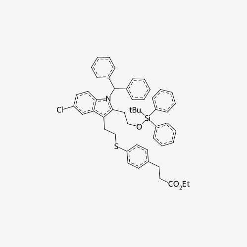 CCOC(=O)CCc1ccc(SCCc2c(CCO[Si](c3ccccc3)(c3ccccc3)C(C)(C)C)n(C(c3ccccc3)c3ccccc3)c3ccc(Cl)cc23)cc1